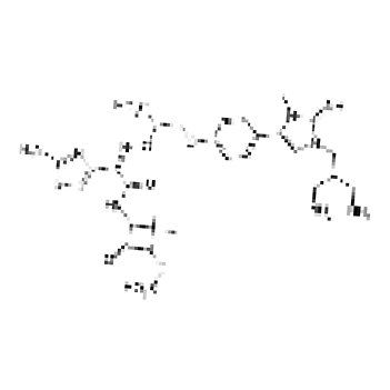 Cn1c(-c2ccc(OC[C@H](O/N=C(\C(=O)NC3C(=O)N(OS(=O)(=O)O)C3(C)C)c3csc(N)n3)C(=O)O)cc2)cn(CC(CN)CN)c1=N